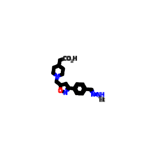 CCNN=Cc1ccc(C2=NOC(CN3CCC(CC(=O)O)CC3)C2)cc1